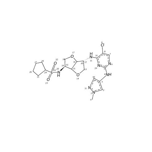 Cn1cc(Nc2ncc(Cl)c(N[C@@H]3COC4C3OC[C@@H]4NS(=O)(=O)C3CCCC3)n2)cn1